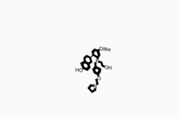 COC1=CC(N(CCO)Cc2ccc(OCCN3CCCC3)cc2)C([C@@H]2CCc3cc(O)ccc3C2)C=C1